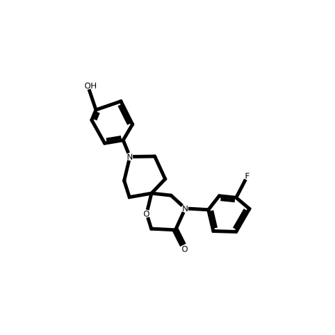 O=C1COC2(CCN(c3ccc(O)cc3)CC2)CN1c1cccc(F)c1